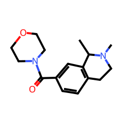 CC1c2cc(C(=O)N3CCOCC3)ccc2CCN1C